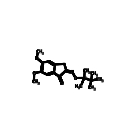 COc1cc2c(cc1OC)C(=O)C(=NO[Si](C)(C)C(C)(C)C)C2